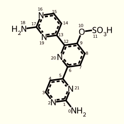 Nc1nccc(-c2ccc(OS(=O)(=O)O)c(-c3ccnc(N)n3)n2)n1